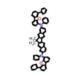 CC1(C)c2cc3cc(N(c4ccccc4)c4cccc5c4oc4c(-c6ccccc6)cccc45)ccc3cc2-c2cc3ccc(N(c4ccccc4)c4cccc5c4oc4c(-c6ccccc6)cccc45)cc3cc21